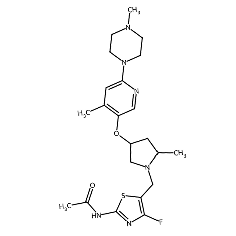 CC(=O)Nc1nc(F)c(CN2CC(Oc3cnc(N4CCN(C)CC4)cc3C)CC2C)s1